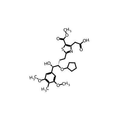 COC(=O)c1sc(CC[C@H](OC2CCCC2)[C@H](O)c2cc(OC)c(C)c(OC)c2)nc1CC(=O)O